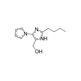 CCCCc1nc(-n2cccc2)c(CO)[nH]1